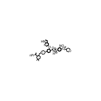 C=C(CCC)C1=C(CN2CCN(c3ccc(C(=O)NS(=O)(=O)c4ccc(OCC5(F)CCOCC5)c([N+](=O)[O-])c4)c(Oc4cnc5[nH]ccc5c4)c3)CC2)CCC(C)(C)C1